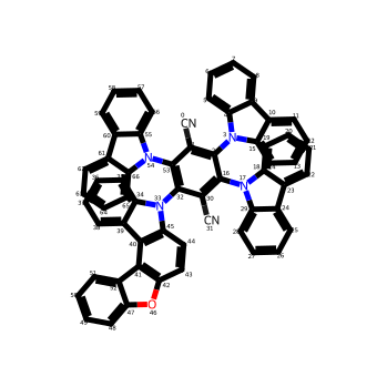 N#Cc1c(-n2c3ccccc3c3ccccc32)c(-n2c3ccccc3c3ccccc32)c(C#N)c(-n2c3ccccc3c3c4c(ccc32)oc2ccccc24)c1-n1c2ccccc2c2ccccc21